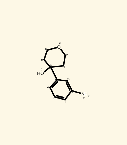 Nc1cccc(C2(O)CCOCC2)c1